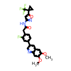 COc1cc2cc(-c3ccc(CC(=O)Nc4cc(C5(C(F)(F)F)CC5)on4)c(F)c3)cnc2cc1OC